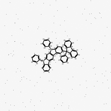 c1ccc(-n2c3ccccc3c3cc4c5cc(C6(c7ccccc7)c7ccccc7-c7ccccc76)ccc5n(-c5ccccc5)c4cc32)cc1